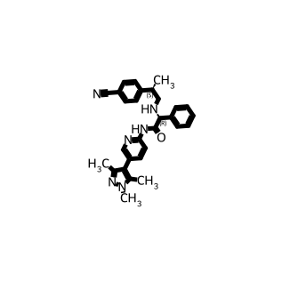 Cc1nn(C)c(C)c1-c1ccc(NC(=O)[C@H](NC[C@@H](C)c2ccc(C#N)cc2)c2ccccc2)nc1